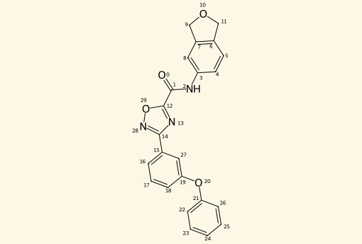 O=C(Nc1ccc2c(c1)COC2)c1nc(-c2cccc(Oc3ccccc3)c2)no1